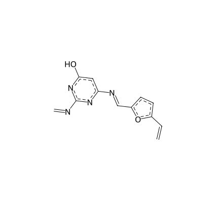 C=Cc1ccc(C=Nc2cc(O)nc(N=C)n2)o1